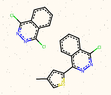 Cc1csc(-c2nnc(Cl)c3ccccc23)c1.Clc1nnc(Cl)c2ccccc12